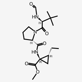 CC[C@@H]1C[C@]1(NC(=O)[C@@H]1CCCN1C(=O)[C@@H](NC=O)C(C)(C)C)C(=O)OC